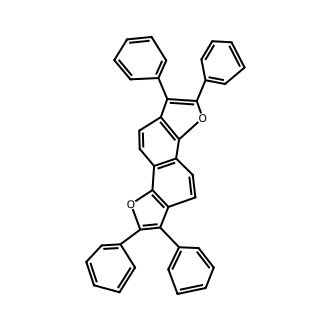 c1ccc(-c2oc3c(ccc4c3ccc3c(-c5ccccc5)c(-c5ccccc5)oc34)c2-c2ccccc2)cc1